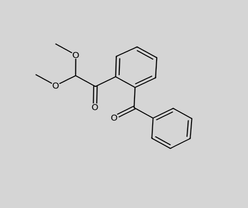 COC(OC)C(=O)c1ccccc1C(=O)c1ccccc1